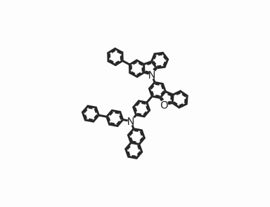 c1ccc(-c2ccc(N(c3ccc(-c4cc(-n5c6ccccc6c6cc(-c7ccccc7)ccc65)cc5c4oc4ccccc45)cc3)c3ccc4ccccc4c3)cc2)cc1